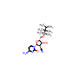 CC(C)C(C)(C)[Si](C)(C)OC[C@H]1O[C@@H](n2ccc(N)nc2=O)[C@H](C#N)[C@@H]1O